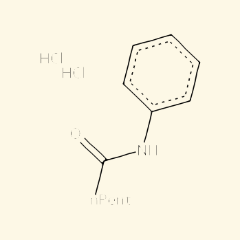 CCCCCC(=O)Nc1ccccc1.Cl.Cl